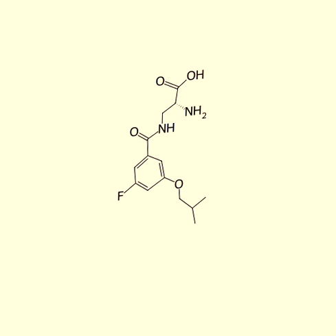 CC(C)COc1cc(F)cc(C(=O)NC[C@@H](N)C(=O)O)c1